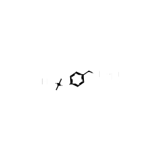 CCCCCCCCc1ccc(OC(C)(C)O)cc1